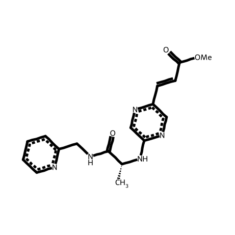 COC(=O)/C=C/c1cnc(N[C@H](C)C(=O)NCc2ccccn2)cn1